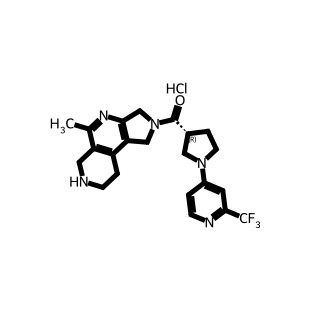 Cc1nc2c(c3c1CNCC3)CN(C(=O)[C@@H]1CCN(c3ccnc(C(F)(F)F)c3)C1)C2.Cl